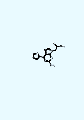 NC(=O)Cn1cnc2c(-c3ccco3)nc(N)nc21